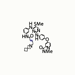 CNC(=O)c1cc(Oc2ccc(Nc3ncc(SC)c(Nc4cccc(NC(=O)/C=C/CN5CC6(CCC6)C5)c4)n3)cc2)ccn1